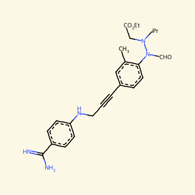 CCOC(=O)CN(C(C)C)N(C=O)c1ccc(C#CCNc2ccc(C(=N)N)cc2)cc1C